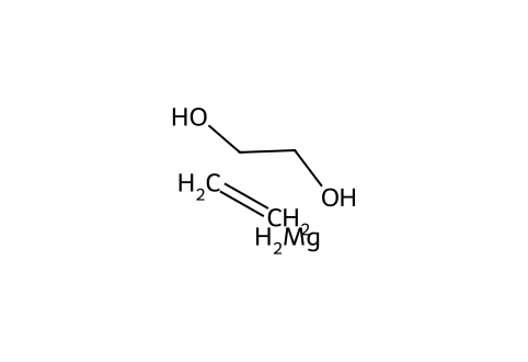 C=C.OCCO.[MgH2]